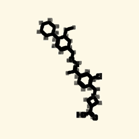 CCC1CC(CO/N=C(\C)c2ccc(CN3CC(C(=O)O)C3)c(Cl)c2)=CC=C1C1CCCCC1